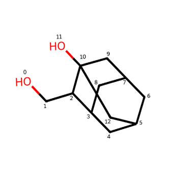 OCC1C2CC3CC(C2)CC1(O)C3